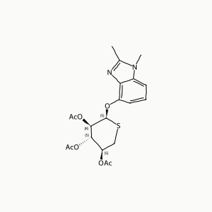 CC(=O)O[C@@H]1[C@@H](OC(C)=O)[C@@H](Oc2cccc3c2nc(C)n3C)SC[C@H]1OC(C)=O